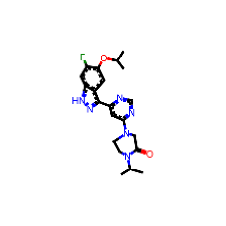 CC(C)Oc1cc2c(-c3cc(N4CCN(C(C)C)C(=O)C4)ncn3)n[nH]c2cc1F